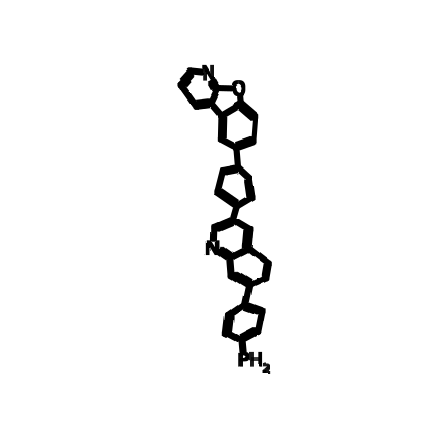 Pc1ccc(-c2ccc3cc(-c4ccc(-c5ccc6oc7ncccc7c6c5)cc4)cnc3c2)cc1